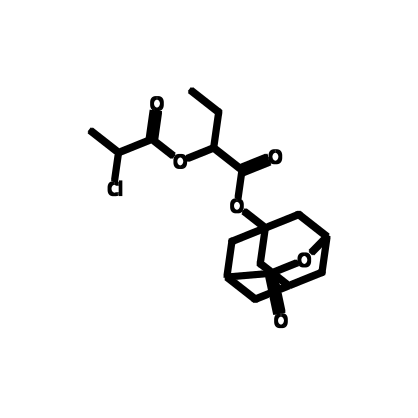 CCC(OC(=O)C(C)Cl)C(=O)OC12CC3CC(C1)OC(=O)C(C3)C2